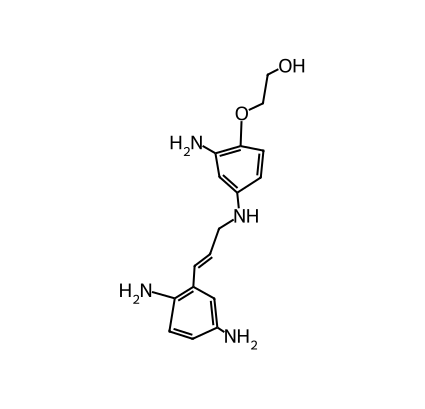 Nc1ccc(N)c(C=CCNc2ccc(OCCO)c(N)c2)c1